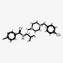 Cc1ccc(C(=O)N[C@H](CN2CCN(Cc3ccc(Cl)cc3)CC2)C(C)C)cc1